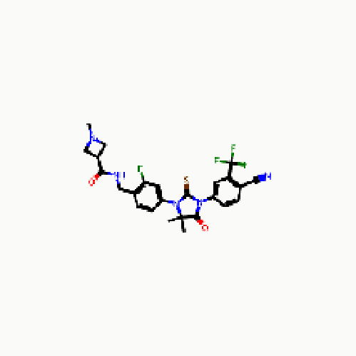 CN1CC(C(=O)NCc2ccc(N3C(=S)N(c4ccc(C#N)c(C(F)(F)F)c4)C(=O)C3(C)C)cc2F)C1